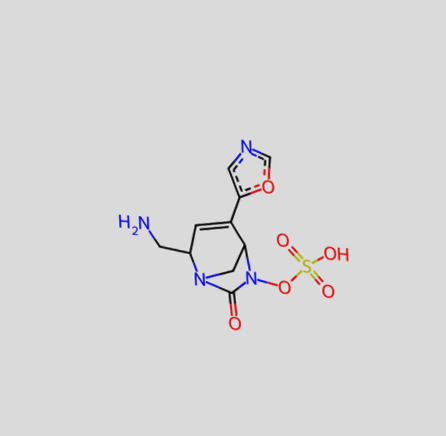 NCC1C=C(c2cnco2)C2CN1C(=O)N2OS(=O)(=O)O